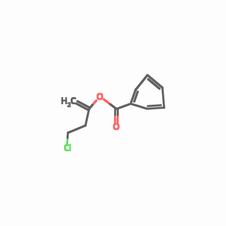 C=C(CCCl)OC(=O)c1ccccc1